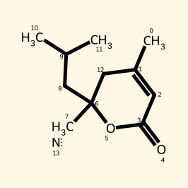 CC1=CC(=O)OC(C)(CC(C)C)C1.[N]